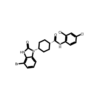 O=c1[nH]c2c(Br)cccc2n1[C@H]1CC[C@@H](C(=O)Nc2ccc(Cl)cc2Cl)CC1